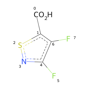 O=C(O)c1snc(F)c1F